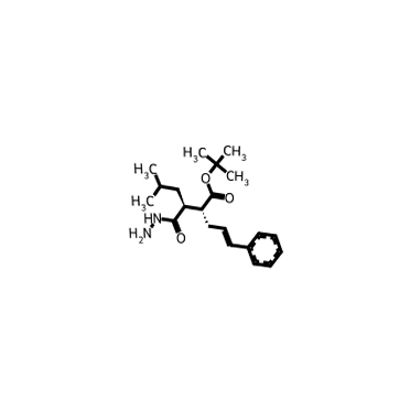 CC(C)C[C@H](C(=O)NN)[C@@H](C/C=C/c1ccccc1)C(=O)OC(C)(C)C